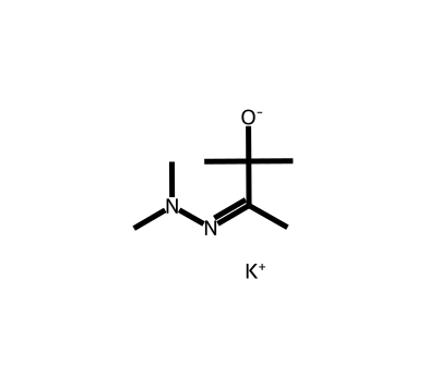 CC(=NN(C)C)C(C)(C)[O-].[K+]